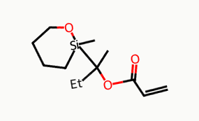 C=CC(=O)OC(C)(CC)[Si]1(C)CCCCO1